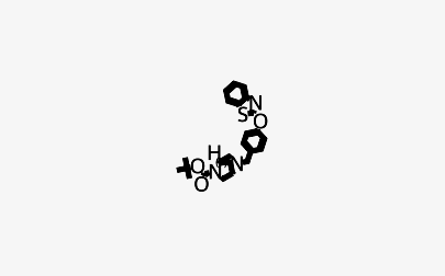 CC(C)(C)OC(=O)N1CC2C[C@H]1CN2Cc1ccc(Oc2nc3ccccc3s2)cc1